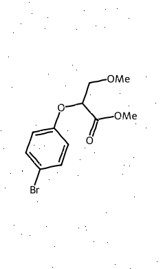 COCC(Oc1ccc(Br)cc1)C(=O)OC